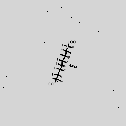 O=C([O-])C(F)(F)C(F)(F)C(F)(F)C(F)(F)C(F)(F)C(F)(F)C(F)(F)C(F)(F)C(=O)[O-].[Na+].[Na+]